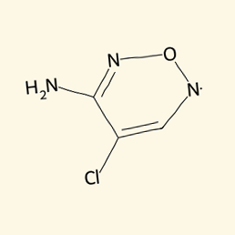 NC1=NO[N]C=C1Cl